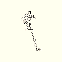 Cc1cc(C2CCCc3nc(SCc4c(F)cc(OCCCCCOCCOCCO)cc4F)n(-c4ccc(F)cc4)c32)ccc1Cl